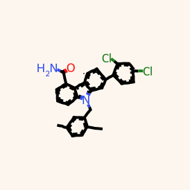 Cc1ccc(C)c(Cn2c3cc(-c4ccc(Cl)cc4Cl)c[c]c3c3c(C(N)=O)cccc32)c1